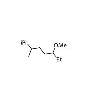 CCC(CCC(C)C(C)C)OC